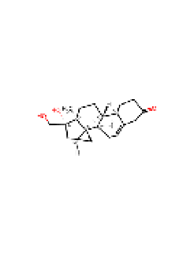 C[C@]12CC[C@H]3[C@@H](CC=C4CC(=O)CC[C@@H]43)[C@@]13C[C@H]3C[C@@]2(O)CO